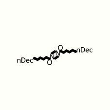 CCCCCCCCCCCCCCCC(=O)N1CCN(C(=O)CCCCCCCCCCCCCCC)CC1